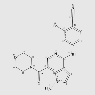 Cn1ccc2c(Nc3ccc(C#N)c(Br)c3)ncc(C(=O)N3CCOCC3)c21